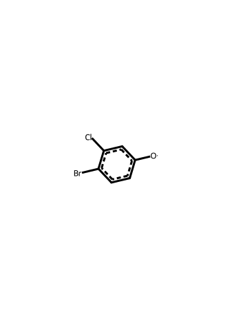 [O]c1ccc(Br)c(Cl)c1